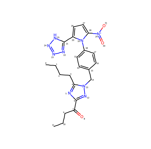 CCCCc1nc(C(=O)CCC)nn1Cc1ccc(-n2c(-c3nnn[nH]3)ccc2[N+](=O)[O-])cc1